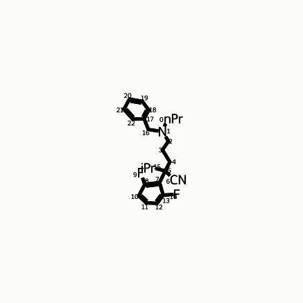 CCCN(CCCC(C#N)(c1c(F)cccc1F)C(C)C)Cc1ccccc1